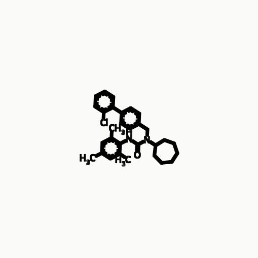 Cc1cc(C)c(NC(=O)N(Cc2ccc(-c3ccccc3Cl)cc2)C2CCCCCC2)c(C)c1